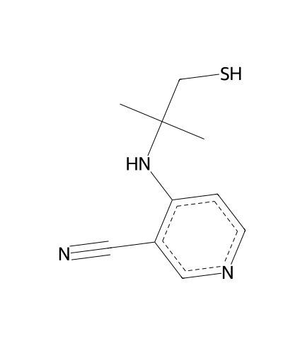 CC(C)(CS)Nc1ccncc1C#N